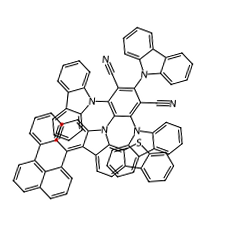 N#Cc1c(-n2c3ccccc3c3ccccc32)c(C#N)c(-n2c3ccccc3c3ccccc32)c(-n2c3cccc(-c4cccc5cccc(-c6ccccc6)c45)c3c3ccc4c5ccccc5sc4c32)c1-n1c2ccccc2c2ccccc21